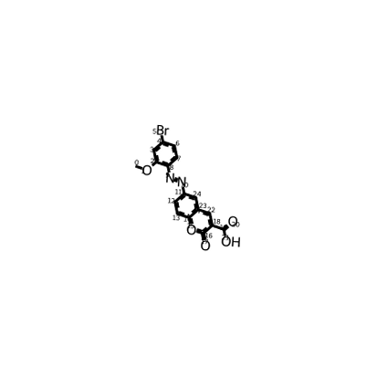 COc1cc(Br)ccc1/N=N/c1ccc2oc(=O)c(C(=O)O)cc2c1